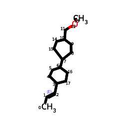 C/C=C/C1CCC(C2CCC(COC)CC2)CC1